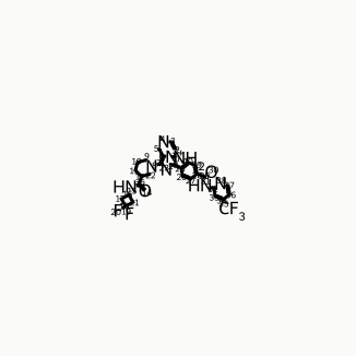 N[N+]12C=CN=CC1=C(N1CCCC(C(=O)NC3CC(F)(F)C3)C1)N=C2c1ccc(C(=O)Nc2cc(C(F)(F)F)ccn2)cc1